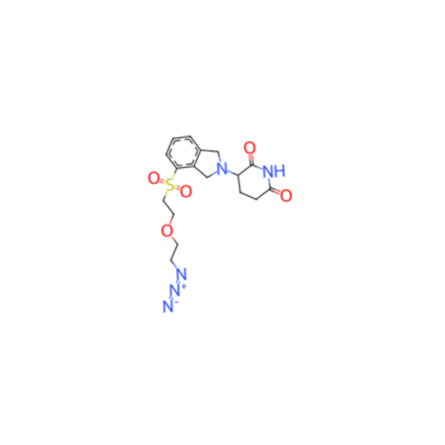 [N-]=[N+]=NCCOCCS(=O)(=O)c1cccc2c1CN(C1CCC(=O)NC1=O)C2